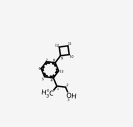 C[C](CO)c1cccc(C2CCC2)c1